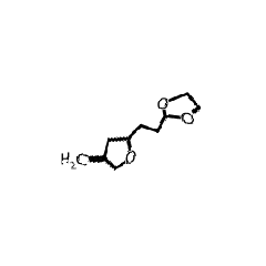 C=C1COC(CCC2OCCO2)C1